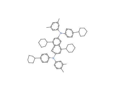 Cc1cc(C)cc(N(c2ccc(C3CCCCC3)cc2)c2cc(C3CCCCC3)c3cc(N(c4ccc(C5CCCCC5)cc4)c4ccc(C)c(C)c4)cc(C4CCCCC4)c3c2)c1